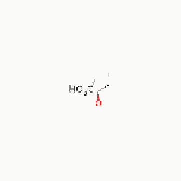 CC(=O)O.CCC=O